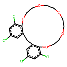 Clc1cc(Cl)c2c(c1)Cc1cc(Cl)cc(Cl)c1OCCOCCOCCOCCO2